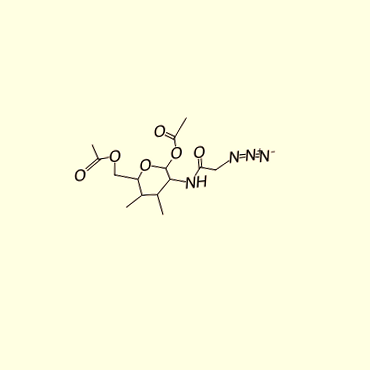 CC(=O)OCC1OC(OC(C)=O)C(NC(=O)CN=[N+]=[N-])C(C)C1C